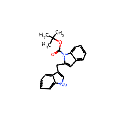 CC(C)(C)OC(=O)n1c(Cc2c[nH]c3ccccc23)cc2ccccc21